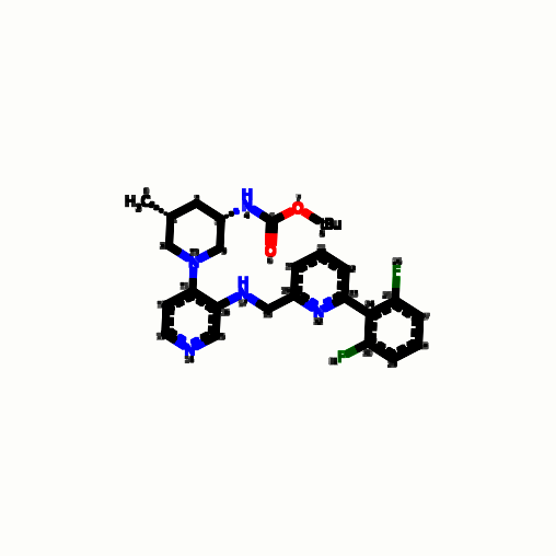 C[C@@H]1C[C@H](NC(=O)OC(C)(C)C)CN(c2ccncc2NCc2cccc(-c3c(F)cccc3F)n2)C1